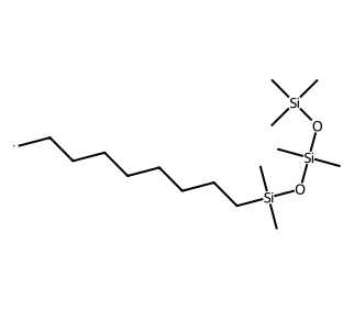 [CH2]CCCCCCCC[Si](C)(C)O[Si](C)(C)O[Si](C)(C)C